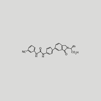 CC(C)C(C(=O)O)N1Cc2ccc(-c3ccc(NC(=O)Nc4cccc(C#N)c4)cc3)cc2C1=O